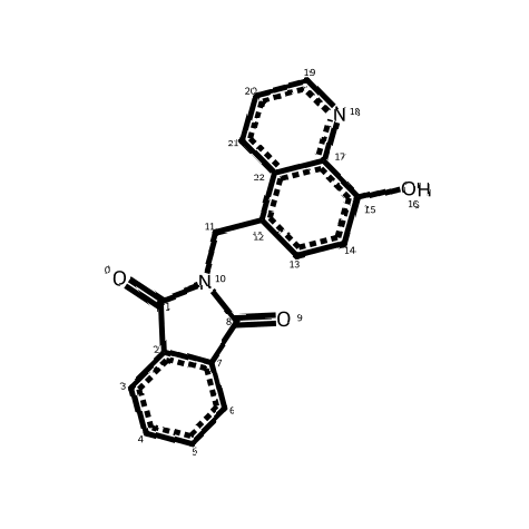 O=C1c2ccccc2C(=O)N1Cc1ccc(O)c2ncccc12